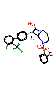 Cc1ccccc1S(=O)(=O)N1CCCCN2[C@H](O)[C@@H](c3ccc(-c4cccc(F)c4C(F)(F)F)cc3)[C@@H]2C1